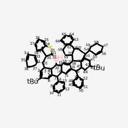 CC(C)(C)C1=CC2C3C(=C1)C(c1ccccc1)C1C=C4C(=CC1C3BC1Sc3ccccc3C1[C@H]2C1=CC=CCC1)C1C2=C(CC(C(C)(C)C)CC2C4c2ccccc2)C(C2C=CCCC2)CC2c3ccccc3CCC12